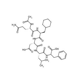 CC(=O)N[C@@H](CCC(N)=O)C(=O)N[C@@H](CC1CCCCC1)C(=O)N[C@@H](CC(=O)O)C(=O)N[C@@H](CC(C)C)C(=O)NC(Cc1ccccc1)C(=O)O